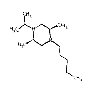 CCCCCN1C[C@@H](C)N(C(C)C)C[C@H]1C